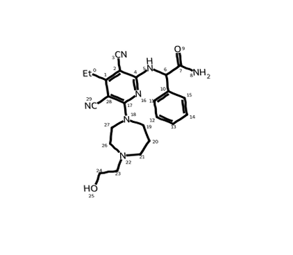 CCc1c(C#N)c(NC(C(N)=O)c2ccccc2)nc(N2CCCN(CCO)CC2)c1C#N